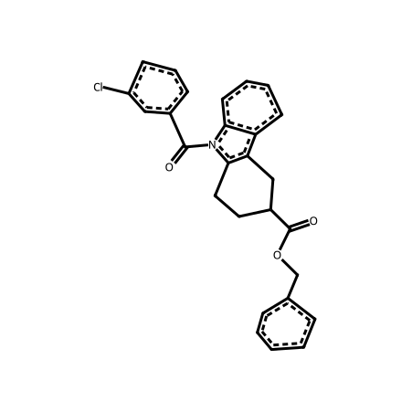 O=C(OCc1ccccc1)C1CCc2c(c3ccccc3n2C(=O)c2cccc(Cl)c2)C1